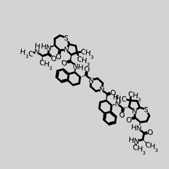 CN[C@@H](C)C(=O)N[C@H]1CCSC2CC(C)(C)[C@@H](C(=O)N[C@@H]3c4ccccc4CC[C@H]3C(=O)N3CCN(C(=O)[C@@H]4CCc5ccccc5[C@H]4NC(=O)[C@H]4N5C(=O)[C@@H](NC(=O)[C@H](C)NC)CCSC5CC4(C)C)CC3)N2C1=O